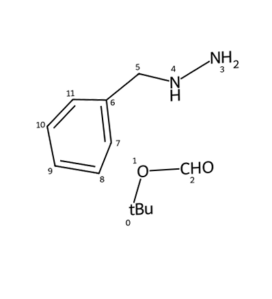 CC(C)(C)OC=O.NNCc1ccccc1